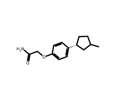 CC1CC[C@@H](c2ccc(OCC(N)=O)cc2)C1